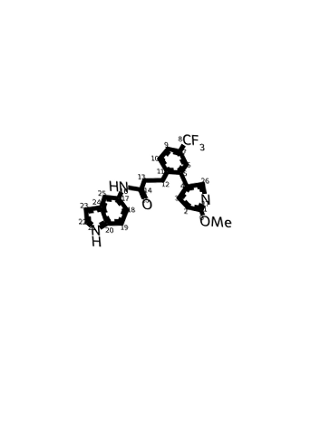 COc1ccc(-c2cc(C(F)(F)F)ccc2CCC(=O)Nc2ccc3[nH]ccc3c2)cn1